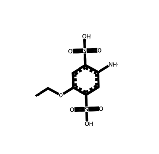 CCOc1cc(S(=O)(=O)O)c([NH])cc1S(=O)(=O)O